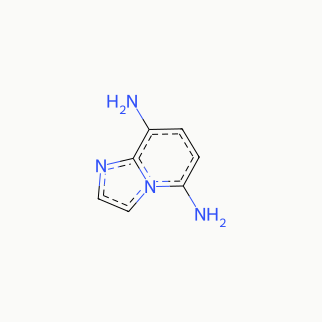 Nc1ccc(N)n2ccnc12